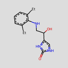 CCc1cccc(CC)c1NCC(O)c1c[nH]c(=O)[nH]1